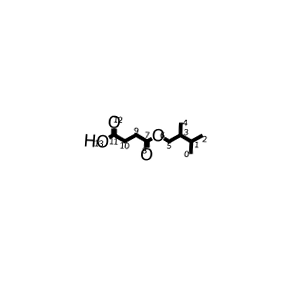 CC(C)C(C)COC(=O)CCC(=O)O